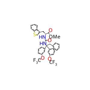 COC(=O)[C@H](Cc1csc2ccccc12)NC(=O)NC(Cc1ccccc1)(c1cccc(OC(F)(F)F)c1)c1cccc(OC(F)(F)F)c1